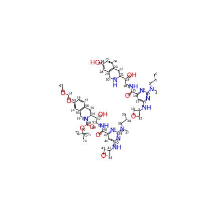 CCCN(C)c1nc(NC2COC2)cc(C(=O)NC[C@@H](O)[C@@H]2Cc3ccc(O)cc3CN2)n1.CCCN(C)c1nc(NC2COC2)cc(C(=O)NC[C@@H](O)[C@@H]2Cc3ccc(OCOC)cc3CN2C(=O)OC(C)(C)C)n1